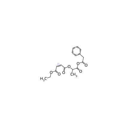 CCOC(=O)/C=C\C(=O)OC(C)C(=O)OC(=O)Cc1ccccc1